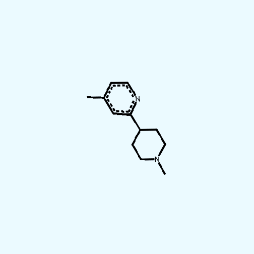 Cc1ccnc(C2CCN(C)CC2)c1